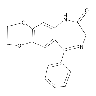 O=C1CN=C(c2ccccc2)c2cc3c(cc2N1)OCCO3